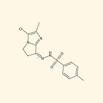 Cc1ccc(S(=O)(=O)N/N=C2/CCn3c2nc(I)c3Cl)cc1